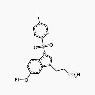 CCOc1ccc2c(c1)c(CCC(=O)O)cn2S(=O)(=O)c1ccc(I)cc1